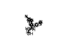 CC(C)(O)[C@H](F)CNC(=O)c1cnc(-c2ccc3cc(C#N)cnn23)cc1N[C@H]1CC[C@H](c2cncs2)CC1